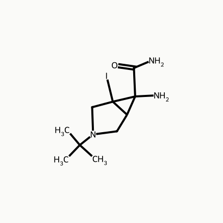 CC(C)(C)N1CC2C(I)(C1)C2(N)C(N)=O